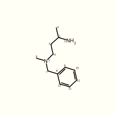 CC(N)CCN(C)Cc1ccccc1